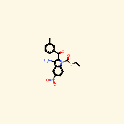 CCOC(=O)n1c(C(=O)c2cccc(C)c2)c(N)c2cc([N+](=O)[O-])ccc21